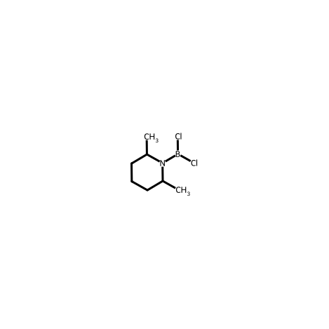 CC1CCCC(C)N1B(Cl)Cl